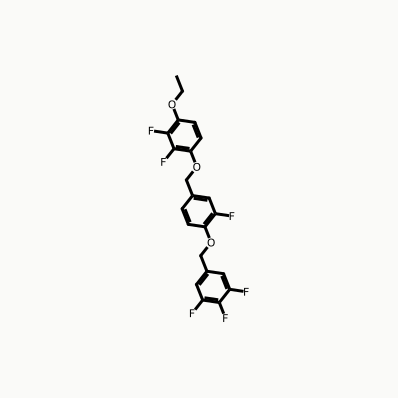 CCOc1ccc(OCc2ccc(OCc3cc(F)c(F)c(F)c3)c(F)c2)c(F)c1F